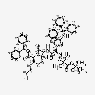 CC(C)(C)OC(=O)C(C)(C)O/N=C(\C(=O)NC1C(=O)N2C(C(=O)OC(c3ccccc3)c3ccccc3)=C(/C=C/CI)CS[C@@H]12)c1csc(NC(c2ccccc2)(c2ccccc2)c2ccccc2)n1